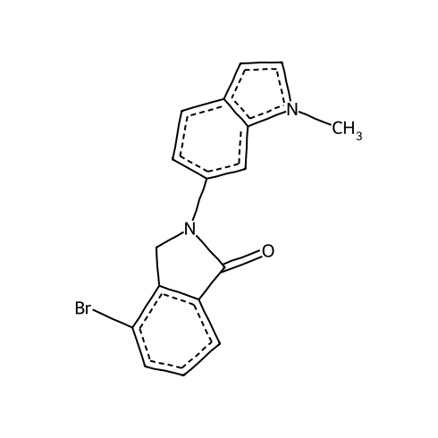 Cn1ccc2ccc(N3Cc4c(Br)cccc4C3=O)cc21